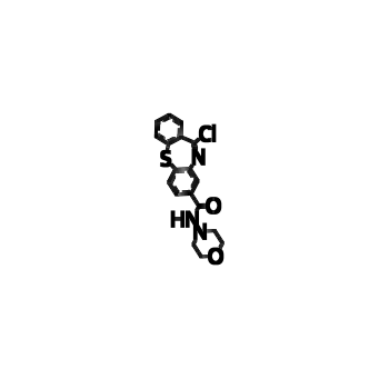 O=C(NN1CCOCC1)c1ccc2c(c1)N=C(Cl)c1ccccc1S2